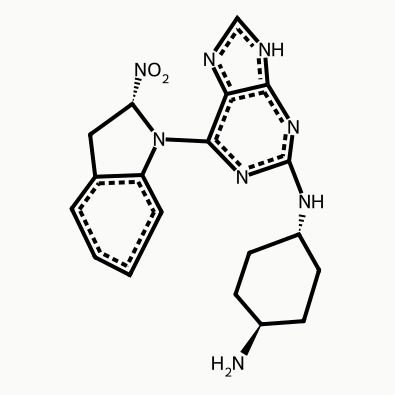 N[C@H]1CC[C@H](Nc2nc(N3c4ccccc4C[C@@H]3[N+](=O)[O-])c3nc[nH]c3n2)CC1